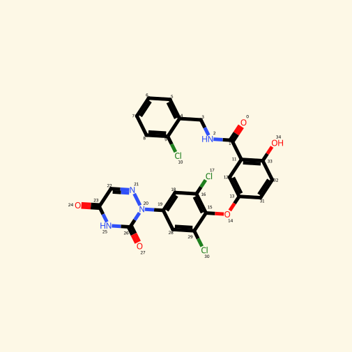 O=C(NCc1ccccc1Cl)c1cc(Oc2c(Cl)cc(-n3ncc(=O)[nH]c3=O)cc2Cl)ccc1O